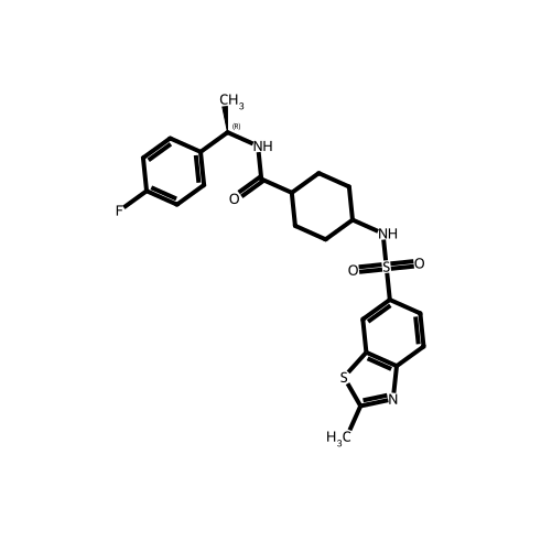 Cc1nc2ccc(S(=O)(=O)NC3CCC(C(=O)N[C@H](C)c4ccc(F)cc4)CC3)cc2s1